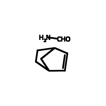 C1=CC2CCC1C2.NC=O